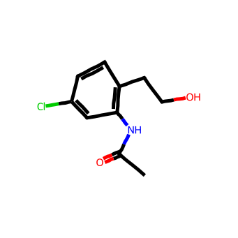 CC(=O)Nc1cc(Cl)ccc1CCO